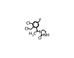 C[C@@H](c1cc(F)cc(Cl)c1CCl)N1CCNC1=O